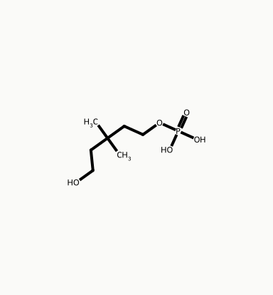 CC(C)(CCO)CCOP(=O)(O)O